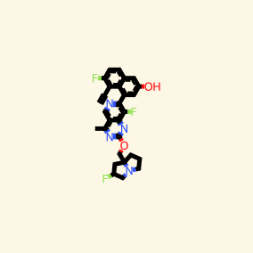 C#Cc1c(F)ccc2cc(O)cc(-c3ncc4c(C)nc(OCC56CCCN5CC(F)C6)nc4c3F)c12